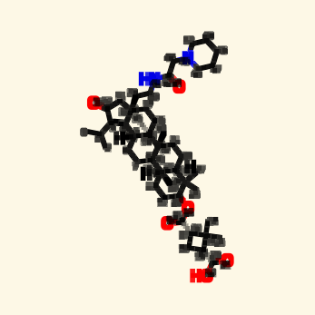 CC(C)C1=C2[C@H]3CC[C@@H]4[C@@]5(C)CC[C@H](OC(=O)[C@H]6C[C@@H](C(=O)O)C6(C)C)C(C)(C)[C@@H]5CC[C@@]4(C)[C@]3(C)CC[C@@]2(CCNC(=O)CN2CCCCC2)CC1=O